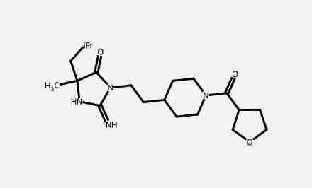 CC(C)CC1(C)NC(=N)N(CCC2CCN(C(=O)C3CCOC3)CC2)C1=O